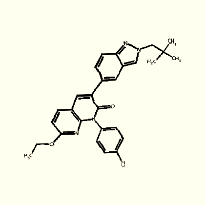 CCOc1ccc2cc(-c3ccc4nn(CC(C)(C)C)cc4c3)c(=O)n(-c3ccc(Cl)cc3)c2n1